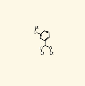 CCOc1cccc(C(OCC)OCC)c1